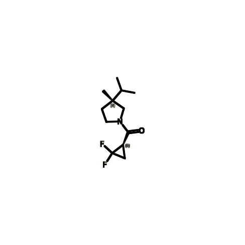 CC(C)[C@@]1(C)CCN(C(=O)[C@H]2CC2(F)F)C1